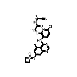 Cc1cc(N=S2(=O)CCC2)cc2ncnc(Nc3ccc(Cl)nc3O[C@H](C)C(=O)N[C@@H](C)C#N)c12